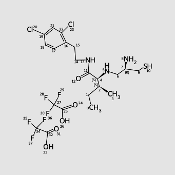 CC[C@H](C)[C@H](NC[C@@H](N)CS)C(=O)NCCc1ccc(Cl)cc1Cl.O=C(O)C(F)(F)F.O=C(O)C(F)(F)F